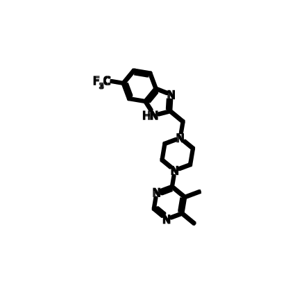 Cc1ncnc(N2CCN(Cc3nc4ccc(C(F)(F)F)cc4[nH]3)CC2)c1C